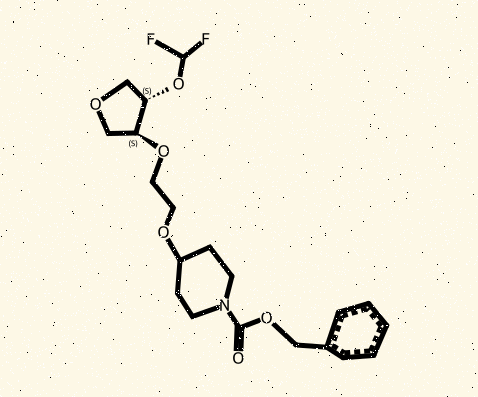 O=C(OCc1ccccc1)N1CCC(OCCO[C@H]2COC[C@@H]2OC(F)F)CC1